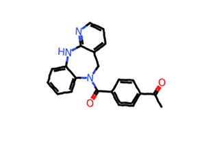 CC(=O)C1=C=C=C(C(=O)N2Cc3cccnc3Nc3ccccc32)C=C1